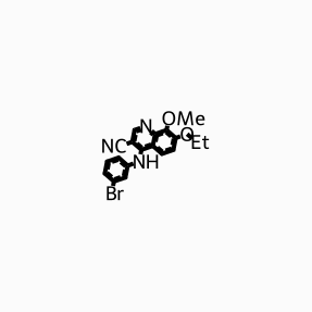 CCOc1ccc2c(Nc3cccc(Br)c3)c(C#N)cnc2c1OC